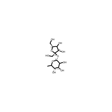 CC1O[C@H](O[C@]2(CO)O[C@@H](CO)C(O)[C@H]2O)C(O)[C@@H](O)[C@@H]1O